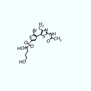 CC(=O)Nc1nc(C)c(-c2cc(S(=O)(=O)N(O)CCCO)sc2Br)s1